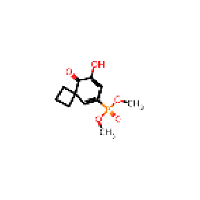 COP(=O)(OC)C1=CC2(CCC2)C(=O)C(O)=C1